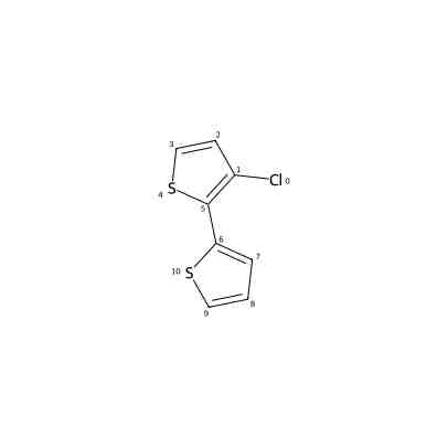 Clc1ccsc1-c1cccs1